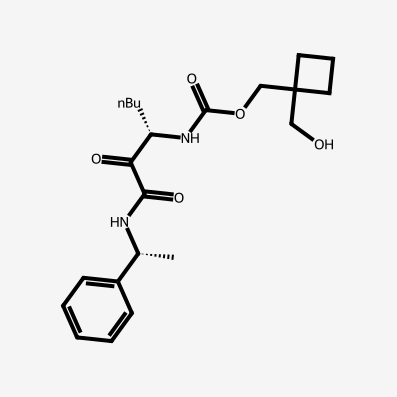 CCCC[C@H](NC(=O)OCC1(CO)CCC1)C(=O)C(=O)N[C@H](C)c1ccccc1